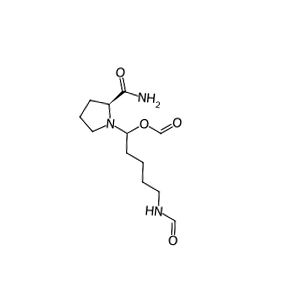 NC(=O)[C@@H]1CCCN1C(CCCCNC=O)OC=O